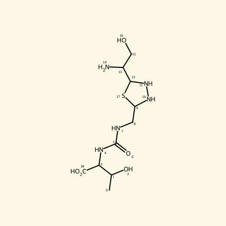 CC(O)C(NC(=O)NCC1NNC(C(N)CO)S1)C(=O)O